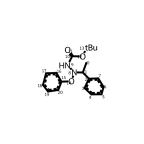 CC(c1ccccc1)N(NC(=O)OC(C)(C)C)Oc1ccccc1